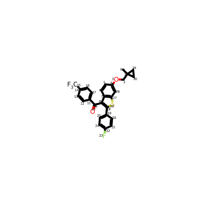 [CH2]C1(COc2ccc3c(C(=O)c4ccc(C(F)(F)F)cc4)c(-c4ccc(F)cc4)sc3c2)CC1